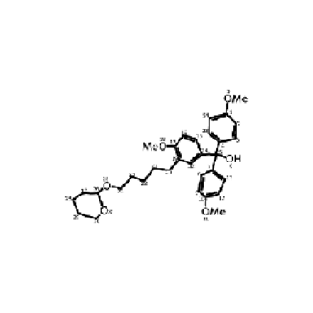 COc1ccc(C(O)(c2ccc(OC)cc2)c2ccc(OC)c(CCCCCOC3CCCCO3)c2)cc1